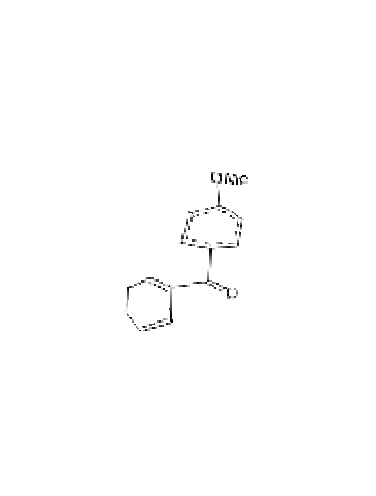 COc1ccc(C(=O)C2=CCCC=C2)cc1